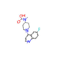 CN(C(=O)O)C1CCN(c2ccnc3ccc(F)cc23)CC1